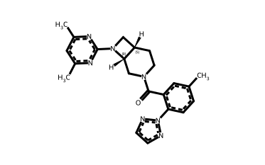 Cc1ccc(-n2nccn2)c(C(=O)N2CC[C@H]3CN(c4nc(C)cc(C)n4)[C@H]3C2)c1